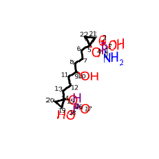 NP(=O)(O)OC1(CCCC(O)CCCC2(O[PH](=O)O)CC2)CC1